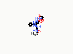 CC(=O)NCCNc1nc(-c2ccccc2)nc2[nH]c(C(=O)ON3C(=O)CCC3=O)cc12